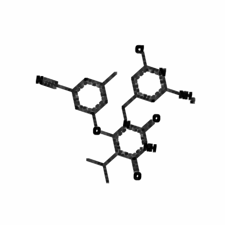 Cc1cc(C#N)cc(Oc2c(C(C)C)c(=O)[nH]c(=O)n2Cc2cc(N)nc(Cl)c2)c1